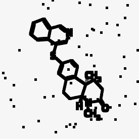 CN1C(=O)CC[C@]2(C)c3ccc(Sc4cncc5ccccc45)cc3CC[C@@H]12